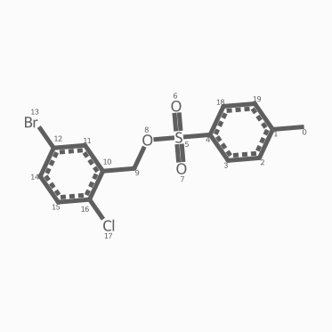 Cc1ccc(S(=O)(=O)OCc2cc(Br)ccc2Cl)cc1